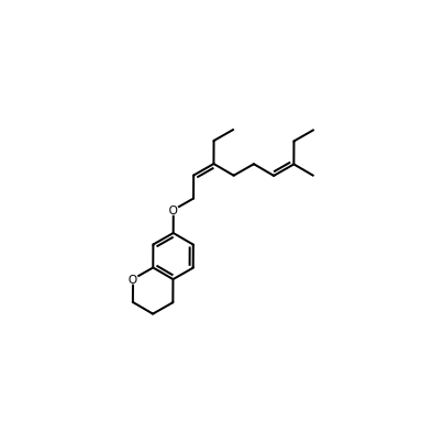 CCC(C)=CCCC(=CCOc1ccc2c(c1)OCCC2)CC